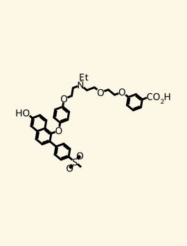 CCN(CCOCCOc1cccc(C(=O)O)c1)CCOc1ccc(Oc2c(-c3ccc(S(C)(=O)=O)cc3)ccc3cc(O)ccc23)cc1